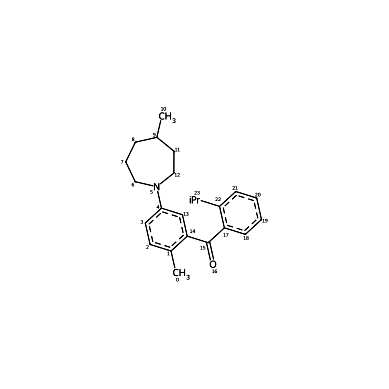 Cc1ccc(N2CCCC(C)CC2)cc1C(=O)c1ccccc1C(C)C